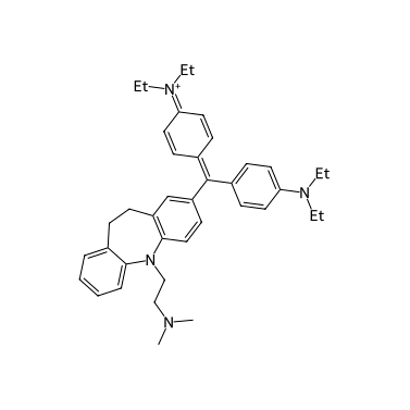 CCN(CC)c1ccc(C(=C2C=CC(=[N+](CC)CC)C=C2)c2ccc3c(c2)CCc2ccccc2N3CCN(C)C)cc1